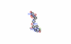 COc1cc(C(=O)NC2CCN(Cc3cccc4c3C(=O)N(C3CCC(=O)NC3=O)C4=O)CC2)ccc1Nc1ncc2c(n1)N(C1CCCC1)CC(F)(F)C(=O)N2C